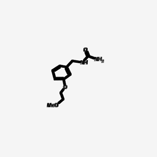 COCCOc1cccc(CNC(N)=O)c1